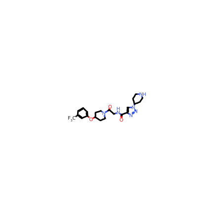 O=C(NCC(=O)N1CCC(Oc2cccc(C(F)(F)F)c2)CC1)c1cn(C2CCNCC2)nn1